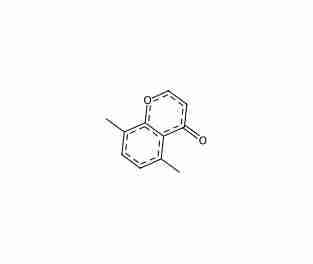 Cc1ccc(C)c2c(=O)ccoc12